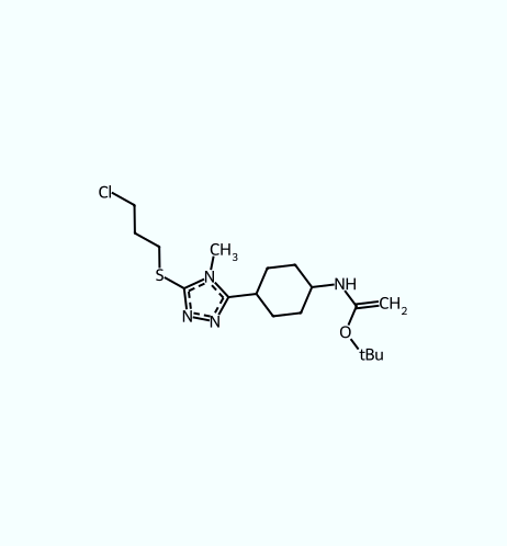 C=C(NC1CCC(c2nnc(SCCCCl)n2C)CC1)OC(C)(C)C